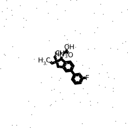 CCC1(CC)Cc2cc(-c3cccc(F)c3)ccc2C1NC(=O)O